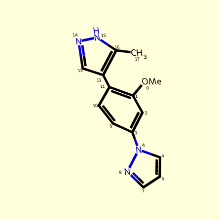 COc1cc(-n2cccn2)ccc1-c1cn[nH]c1C